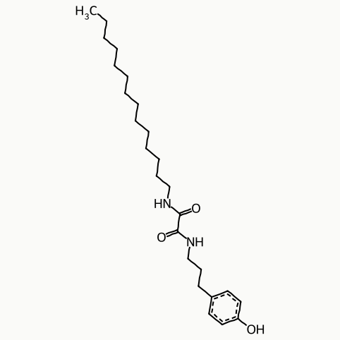 CCCCCCCCCCCCCCNC(=O)C(=O)NCCCc1ccc(O)cc1